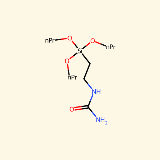 CCCO[Si](CCNC(N)=O)(OCCC)OCCC